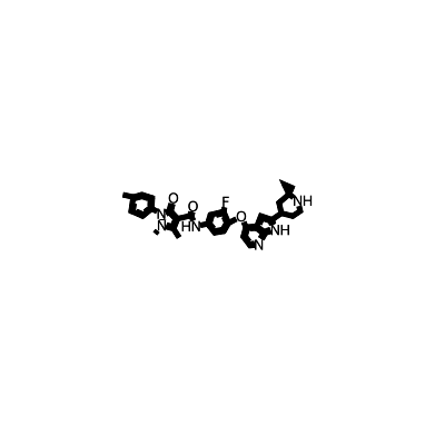 Cc1ccc(-n2c(=O)c(C(=O)Nc3ccc(Oc4ccnc5[nH]c(C6CCNC7(CC7)C6)cc45)c(F)c3)c(C)n2C)cc1